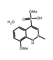 COc1cccc2c1NN(C)C=C2P(=O)(O)OC.O